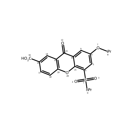 CCCS(=O)(=O)c1cc(OC(C)C)cc2c(=O)c3cc(C(=O)O)ccc3oc12